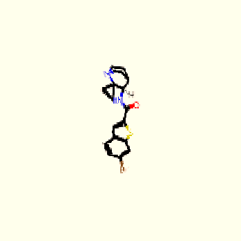 O=C(N[C@@H]1C2CCN(CC2)C12CC2)c1cc2ccc(Br)cc2s1